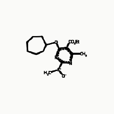 CCOC(=O)c1c(C)nc([S+](C)[O-])nc1OC1CCCCCC1